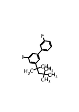 CC(C)(C)CC(C)(C)c1cc(I)cc(-c2cccc(F)c2)c1